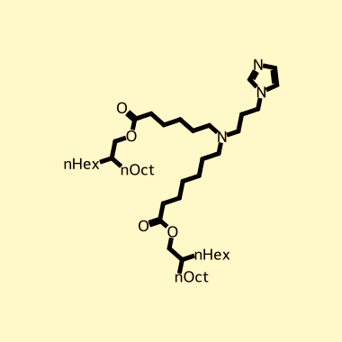 CCCCCCCCC(CCCCCC)COC(=O)CCCCCCN(CCCCCC(=O)OCC(CCCCCC)CCCCCCCC)CCCn1ccnc1